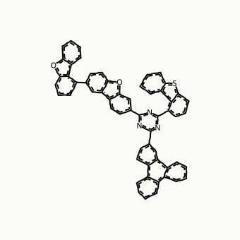 c1ccc2c(c1)oc1cccc(-c3ccc4oc5cc(-c6nc(-c7ccc8c9ccccc9c9ccccc9c8c7)nc(-c7cccc8sc9ccccc9c78)n6)ccc5c4c3)c12